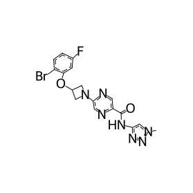 Cn1cc(NC(=O)c2cnc(N3CC(Oc4cc(F)ccc4Br)C3)cn2)nn1